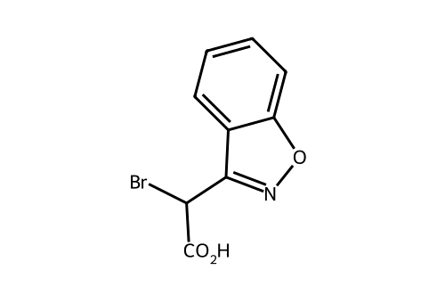 O=C(O)C(Br)c1noc2ccccc12